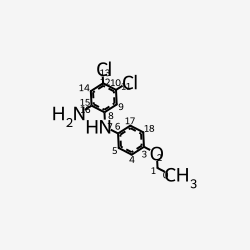 CCOc1ccc(Nc2cc(Cl)c(Cl)cc2N)cc1